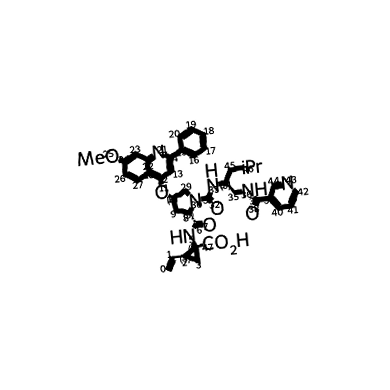 C=C[C@@H]1C[C@]1(NC(=O)[C@@H]1C[C@@H](Oc2cc(-c3ccccc3)nc3cc(OC)ccc23)CN1C(=O)N[C@H](CNC(=O)c1cccnc1)CC(C)C)C(=O)O